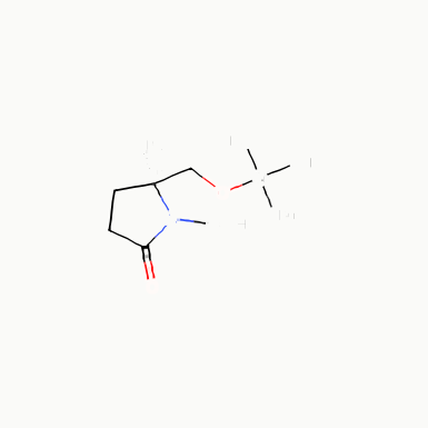 CC(C)(C)[C@@]1(CO[Si](C)(C)C(C)(C)C)CCC(=O)N1C(=O)O